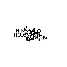 Cc1c(CN(NC(=O)O)C(N)=O)sc2c1c(=O)n(CC(C)(C)C)c(=O)n2CC1CCCO1